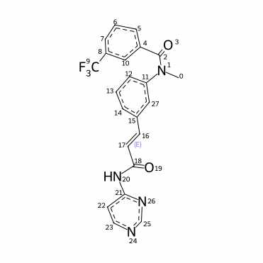 CN(C(=O)c1cccc(C(F)(F)F)c1)c1cccc(/C=C/C(=O)Nc2ccncn2)c1